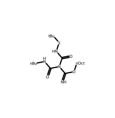 CCCCCCCCOC(=N)N(C(=O)NCCCC)C(=O)NSC(C)(C)C